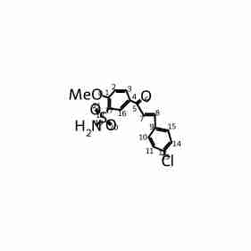 COc1ccc(C(=O)/C=C/c2ccc(Cl)cc2)cc1S(N)(=O)=O